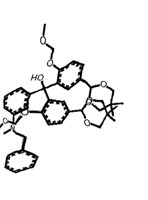 COCOc1ccc(C2OCC(C)(C)CO2)cc1C(O)(c1cccc(N(C)Cc2ccccc2)c1)c1cc(C2OCC(C)(C)CO2)ccc1OCOC